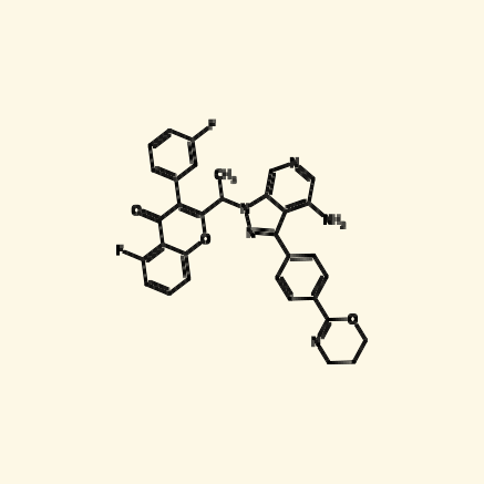 CC(c1oc2cccc(F)c2c(=O)c1-c1cccc(F)c1)n1nc(-c2ccc(C3=NCCCO3)cc2)c2c(N)cncc21